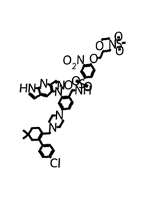 CC1(C)CCC(CN2CCN(c3ccc(C(=O)NS(=O)(=O)c4ccc(OCC5CN(S(C)(=O)=O)CCO5)c([N+](=O)[O-])c4)c(-n4ncc5nc6[nH]ccc6cc54)c3)CC2)=C(c2ccc(Cl)cc2)C1